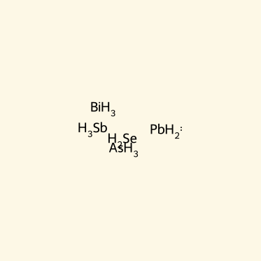 [AsH3].[BiH3].[PbH2].[SbH3].[SeH2]